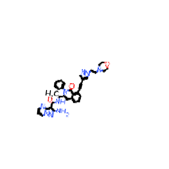 C[C@H](NC(=O)c1c(N)nn2cccnc12)c1cc2cccc(C#Cc3cnn(CCN4CCOCC4)c3)c2c(=O)n1-c1ccccc1